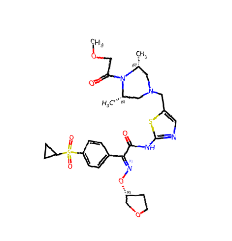 COCC(=O)N1[C@H](C)CN(Cc2cnc(NC(=O)/C(=N/O[C@@H]3CCOC3)c3ccc(S(=O)(=O)C4CC4)cc3)s2)C[C@@H]1C